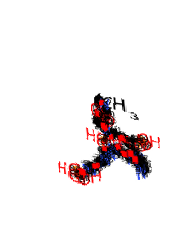 CN(c1ccccc1)c1ccc2c(c1)C1(OC(=O)c3ccccc31)c1ccc(N(CCP(=O)(O)O)c3ccc(CCC(CCCCc4cc5cccnc5cc4-[n+]4ccc(-c5cc[n+](Cc6cccc(C[n+]7ccc(-c8cc[n+](CCP(=O)(O)O)cc8)cc7)n6)cc5)cc4)CCCP(=O)(O)O)cc3)cc1O2